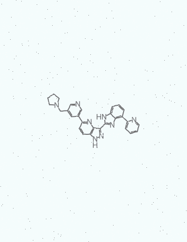 c1ccc(-c2cccc3[nH]c(-c4n[nH]c5ccc(-c6cncc(CN7CCCC7)c6)nc45)nc23)nc1